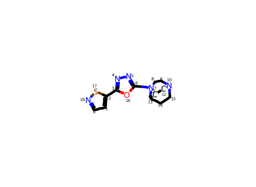 c1cc(-c2nnc(N3CCN4CCC3CC4)o2)sn1